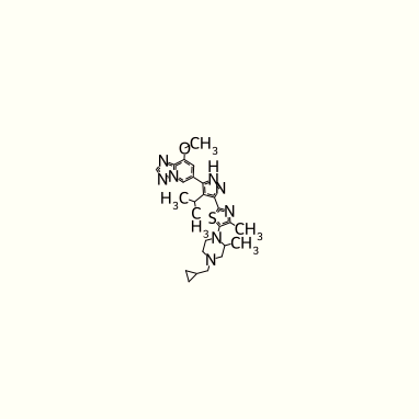 COc1cc(-c2[nH]nc(-c3nc(C)c(N4CCN(CC5CC5)CC4C)s3)c2C(C)C)cn2ncnc12